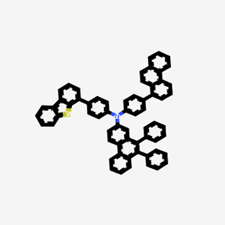 c1ccc(-c2c(-c3ccccc3)c3cc(N(c4ccc(-c5cccc6c5ccc5ccccc56)cc4)c4ccc(-c5cccc6c5sc5ccccc56)cc4)ccc3c3ccccc23)cc1